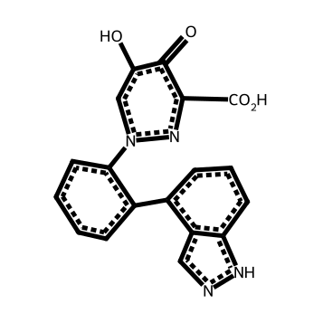 O=C(O)c1nn(-c2ccccc2-c2cccc3[nH]ncc23)cc(O)c1=O